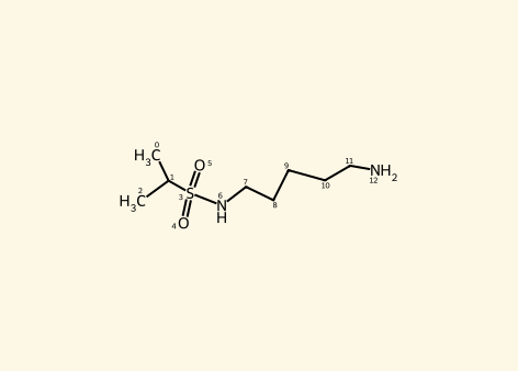 CC(C)S(=O)(=O)NCCCCCN